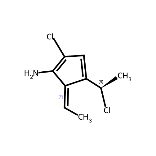 C/C=C1\C([C@@H](C)Cl)=CC(Cl)=C1N